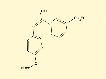 CCCCCCCCCCOc1ccc(C=C(C=O)c2cccc(C(=O)OCC)c2)cc1